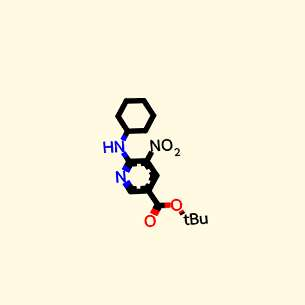 CC(C)(C)OC(=O)c1cnc(NC2CCCCC2)c([N+](=O)[O-])c1